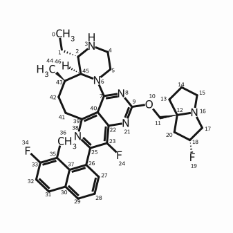 CC[C@@H]1NCCN2c3nc(OC[C@@]45CCCN4C[C@H](F)C5)nc4c(F)c(-c5cccc6ccc(F)c(C)c56)nc(c34)CC[C@@H](C)[C@@H]12